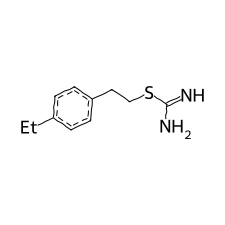 CCc1ccc(CCSC(=N)N)cc1